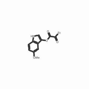 CCC(=O)C(=O)Oc1c[nH]c2ccc(OC)cc12